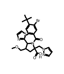 COCC1CC(Cn2cccn2)(C(=O)O)N(C(=O)c2cc(Br)c(C(C)(C)C)cc2F)C1c1nccs1